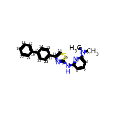 CN(C)c1cccc(Nc2nc(-c3ccc(-c4ccccc4)cc3)cs2)n1